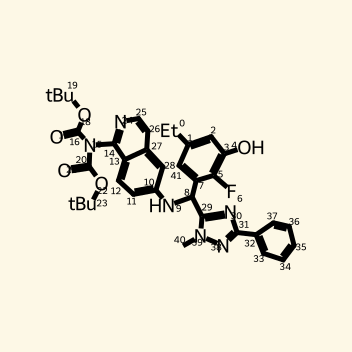 CCc1cc(O)c(F)c(C(Nc2ccc3c(N(C(=O)OC(C)(C)C)C(=O)OC(C)(C)C)nccc3c2)c2nc(-c3ccccc3)nn2C)c1